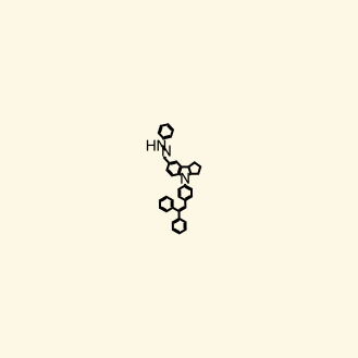 C(=NNc1ccccc1)c1ccc2c(c1)C1CCCC1N2c1ccc(C=C(c2ccccc2)c2ccccc2)cc1